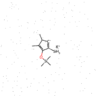 CC1=C(O[Si](C)(C)C)C([SiH3])=[C-]C1C.[K+]